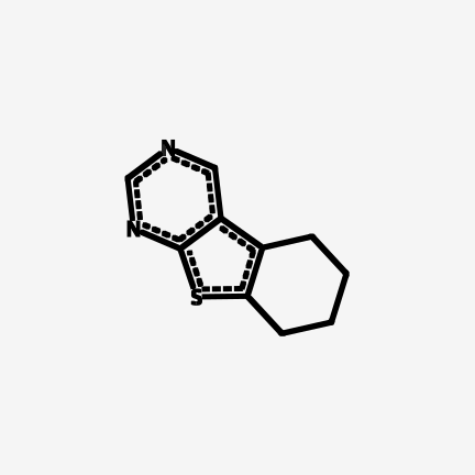 c1ncc2c3c(sc2n1)CCCC3